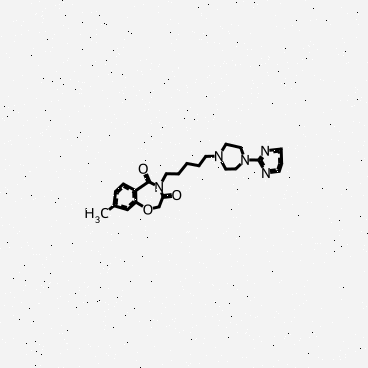 Cc1ccc2c(c1)OCC(=O)N(CCCCCN1CCN(c3ncccn3)CC1)C2=O